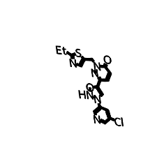 CCc1ncc(Cn2nc(C3=CN(c4cncc(Cl)c4)NO3)ccc2=O)s1